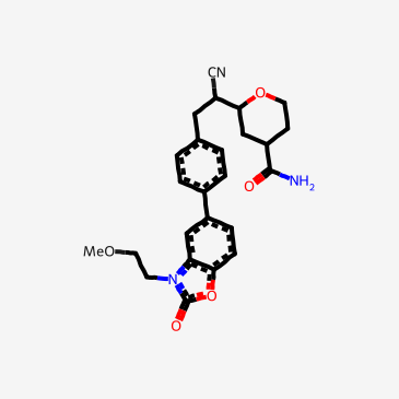 COCCn1c(=O)oc2ccc(-c3ccc(CC(C#N)C4CC(C(N)=O)CCO4)cc3)cc21